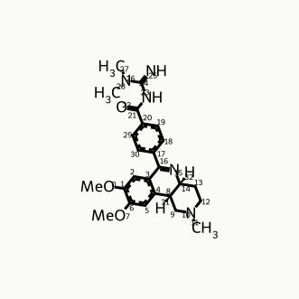 COc1cc2c(cc1OC)[C@H]1CN(C)CC[C@H]1N=C2c1ccc(C(=O)NC(=N)N(C)C)cc1